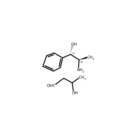 CC(O)CC=O.C[C@@H](N)[C@@H](O)c1ccccc1